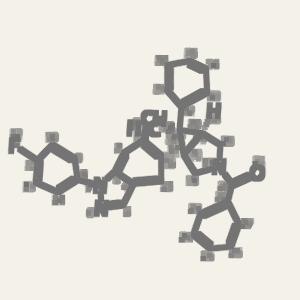 Cc1cc2c(cnn2-c2ccc(F)cc2)cc1[C@@]12CN(C(=O)c3ccccc3)C[C@@H]1[C@]2(C)c1ccccc1